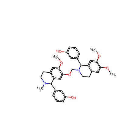 COc1cc2c(cc1OC)C(c1cccc(O)c1)N(COc1cc3c(cc1OC)CCN(C)C3c1cccc(O)c1)CC2